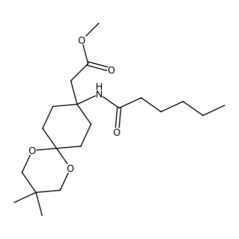 CCCCCC(=O)NC1(CC(=O)OC)CCC2(CC1)OCC(C)(C)CO2